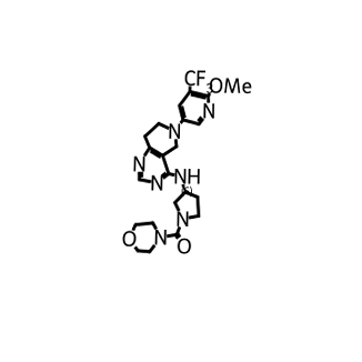 COc1ncc(N2CCc3ncnc(N[C@H]4CCN(C(=O)N5CCOCC5)C4)c3C2)cc1C(F)(F)F